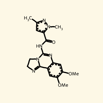 COc1cc2c(cc1OC)C1=NCCN1C(NC(=O)c1cc(C)nn1C)=N2